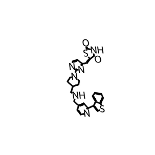 O=C1NC(=O)/C(=C/c2ccnc(N3CCC(CNCc4ccnc(-c5csc6ccccc56)c4)CC3)n2)S1